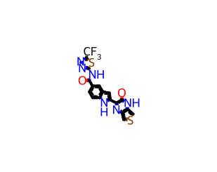 O=C(Nc1nnc(C(F)(F)F)s1)c1ccc2[nH]c(-c3nc4cscc4[nH]c3=O)cc2c1